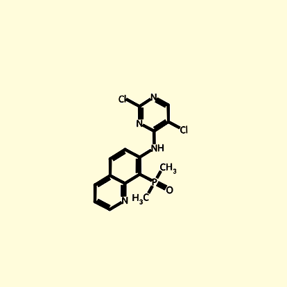 CP(C)(=O)c1c(Nc2nc(Cl)ncc2Cl)ccc2cccnc12